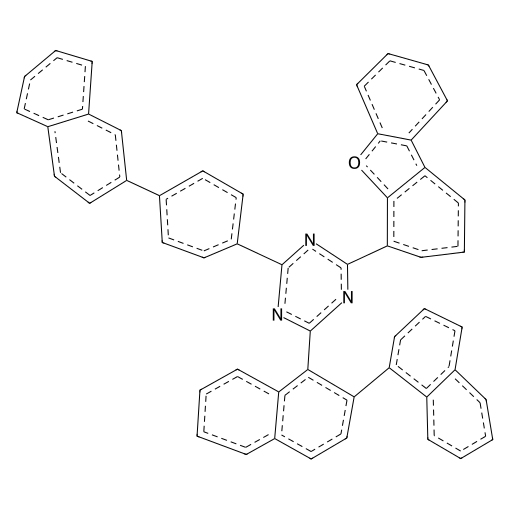 c1ccc2cc(-c3ccc(-c4nc(-c5c(-c6cccc7ccccc67)ccc6ccccc56)nc(-c5cccc6c5oc5ccccc56)n4)cc3)ccc2c1